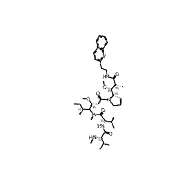 CC[C@H](C)C([C@@H](CC(=O)N1CCC[C@H]1[C@H](OC)[C@@H](C)C(=O)NCCc1ccc2ccccc2n1)OC)N(C)C(=O)[C@@H](NC(=O)[C@@H](NC)C(C)C)C(C)C